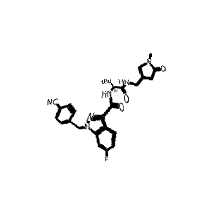 CN1CC(CNC(=O)[C@@H](NC(=O)c2nn(Cc3ccc(C#N)cc3)c3cc(F)ccc23)C(C)(C)C)CC1=O